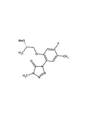 CO[C@@H](C)COc1cc(F)c(C)cc1-n1nnn(C)c1=O